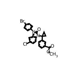 COC(=O)c1cccc(C2(n3c(=O)n(-c4ccc(Br)cc4)c4cc(Cl)ccc43)CC2)c1